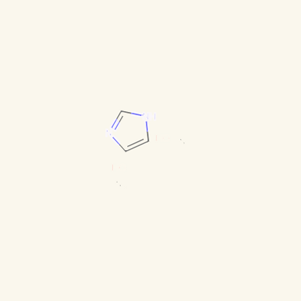 [Na+].[Na+].[OH-].[OH-].c1c[nH]cn1